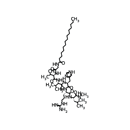 CCCCCCCCCCCCCCCC(=O)NCC(=O)N[C@H](C(=O)N[C@H](C(=O)N[C@@H](Cc1c[nH]cn1)C(=O)N[C@@H](CCCNC(=N)N)C(=O)N[C@@H](CC(C)C)C(=O)NC)C(C)C)C(C)C